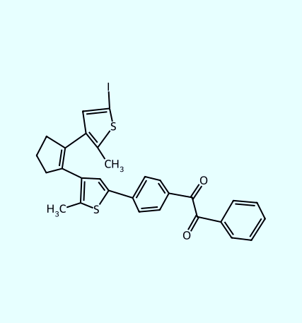 Cc1sc(I)cc1C1=C(c2cc(-c3ccc(C(=O)C(=O)c4ccccc4)cc3)sc2C)CCC1